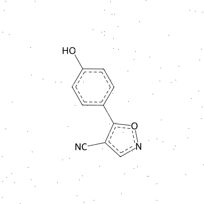 N#Cc1cnoc1-c1ccc(O)cc1